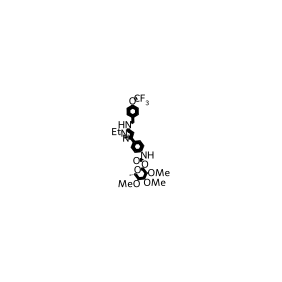 CCn1nc(-c2ccc(NC(=O)O[C@@H]3O[C@@H](C)[C@H](OC)[C@@H](OC)[C@H]3OC)cc2)cc1NCc1ccc(OC(F)(F)F)cc1